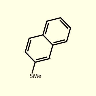 CSc1[c]c2ccccc2cc1